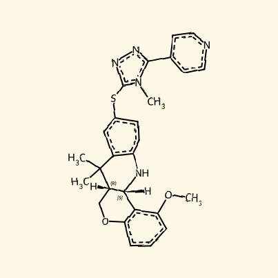 COc1cccc2c1[C@H]1Nc3ccc(Sc4nnc(-c5ccncc5)n4C)cc3C(C)(C)[C@H]1CO2